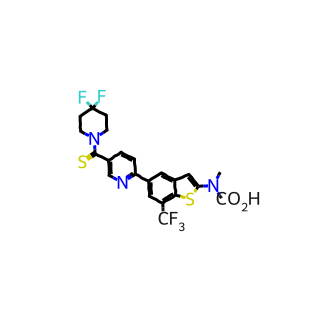 CN(C(=O)O)c1cc2cc(-c3ccc(C(=S)N4CCC(F)(F)CC4)cn3)cc(C(F)(F)F)c2s1